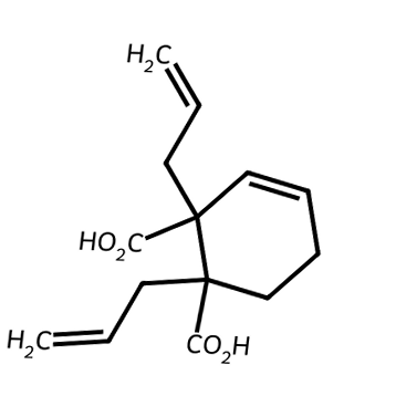 C=CCC1(C(=O)O)C=CCCC1(CC=C)C(=O)O